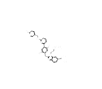 COCCn1c(Cc2cc(F)c(-c3cccc(OCc4ccc(F)nc4)n3)cc2F)nc2ccc(C(O)O)cc21